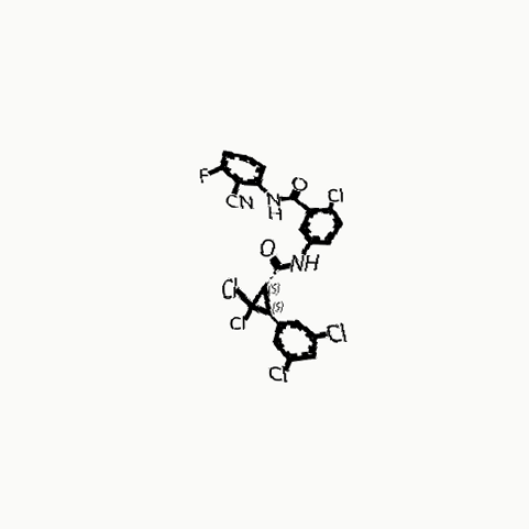 N#Cc1c(F)cccc1NC(=O)c1cc(NC(=O)[C@@H]2[C@@H](c3cc(Cl)cc(Cl)c3)C2(Cl)Cl)ccc1Cl